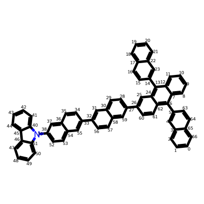 c1ccc2cc(-c3c4ccccc4c(-c4ccc5ccccc5c4)c4cc(-c5ccc6cc(-c7ccc8cc(-n9c%10ccccc%10c%10ccccc%109)ccc8c7)ccc6c5)ccc34)ccc2c1